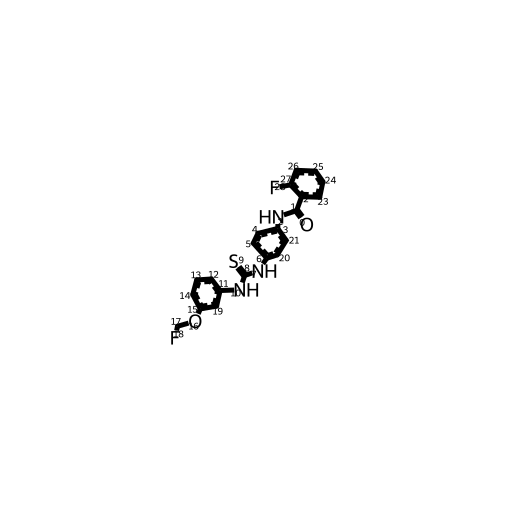 O=C(Nc1ccc(NC(=S)Nc2cccc(OCF)c2)cc1)c1ccccc1F